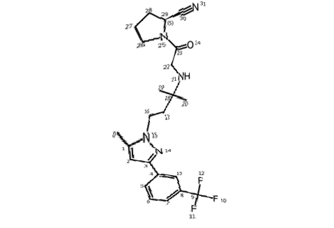 Cc1cc(-c2cccc(C(F)(F)F)c2)nn1CCC(C)(C)NCC(=O)N1CCC[C@H]1C#N